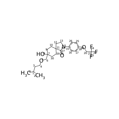 CC(C)CCOCC1(O)CCC2(CCN(c3ccc(OCC(F)(F)F)cc3)C2=O)CC1